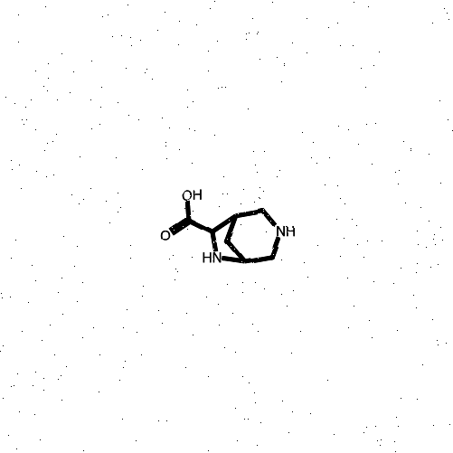 O=C(O)C1NC2CNCC1C2